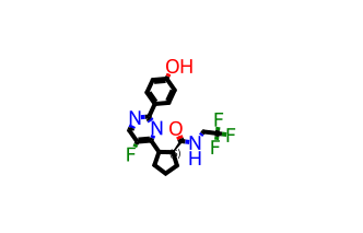 O=C(NCC(F)(F)F)[C@H]1CCCC1c1nc(-c2ccc(O)cc2)ncc1F